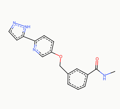 CNC(=O)c1cccc(COc2ccc(-c3ccn[nH]3)nc2)c1